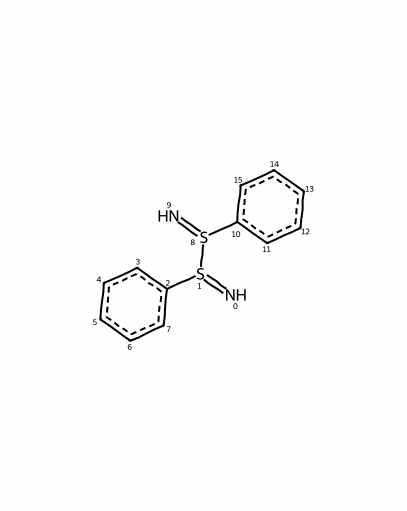 N=S(c1ccccc1)S(=N)c1ccccc1